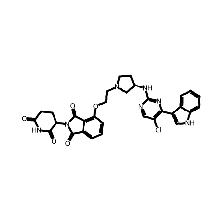 O=C1CCC(N2C(=O)c3cccc(OCCN4CC[C@@H](Nc5ncc(Cl)c(-c6c[nH]c7ccccc67)n5)C4)c3C2=O)C(=O)N1